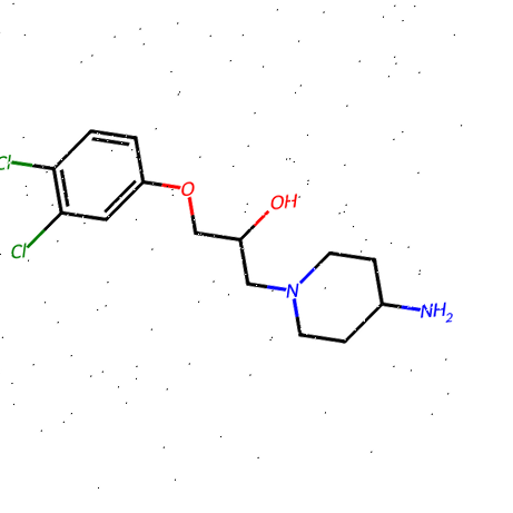 NC1CCN(CC(O)COc2ccc(Cl)c(Cl)c2)CC1